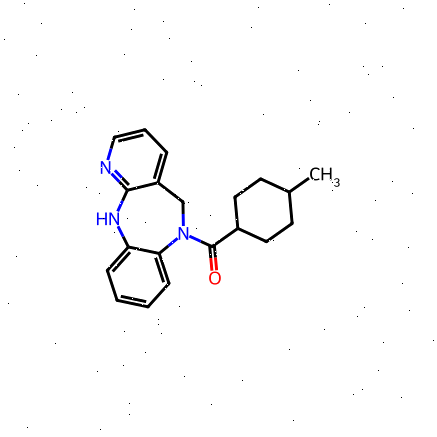 CC1CCC(C(=O)N2Cc3cccnc3Nc3ccccc32)CC1